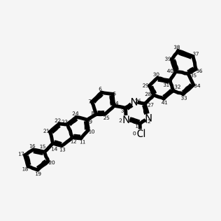 Clc1nc(-c2cccc(-c3ccc4cc(-c5ccccc5)ccc4c3)c2)nc(-c2ccc3c(ccc4ccccc43)c2)n1